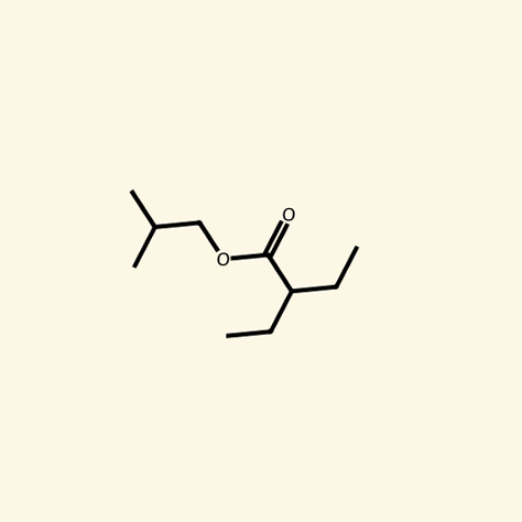 CCC(CC)C(=O)OCC(C)C